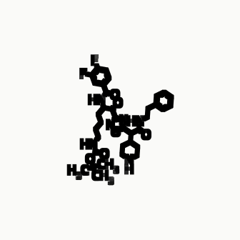 CC(C)(C)OC(=O)NCCCCC(NC(=O)c1ccc(F)c(F)c1)C(=O)c1noc(C(C(=O)NCCc2ccccc2)C2CCNCC2)n1